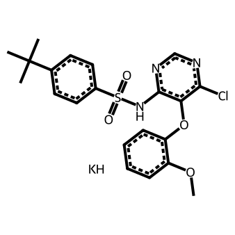 COc1ccccc1Oc1c(Cl)ncnc1NS(=O)(=O)c1ccc(C(C)(C)C)cc1.[KH]